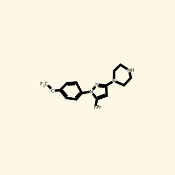 CCCc1cc(N2CCNCC2)nn1-c1ccc(OC(F)(F)F)cc1